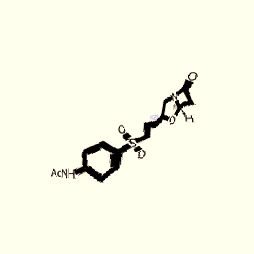 CC(=O)Nc1ccc(S(=O)(=O)C/C=C2/CN3C(=O)C[C@H]3O2)cc1